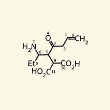 C=CCC(=O)C(C(N)CC)C(C(=O)O)C(=O)O